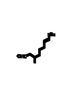 CCCC/C=C/CCCC(C)C[C]=O